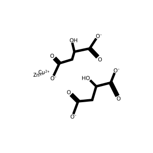 O=C([O-])CC(O)C(=O)[O-].O=C([O-])CC(O)C(=O)[O-].[Cu+2].[Zn+2]